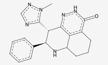 Cn1ncnc1[C@@H]1c2n[nH]c(=O)c3c2C(CCC3)N[C@H]1c1ccccc1